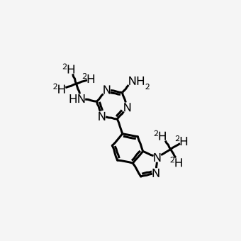 [2H]C([2H])([2H])Nc1nc(N)nc(-c2ccc3cnn(C([2H])([2H])[2H])c3c2)n1